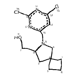 OCC1CC2(CCC2)CN1c1cc(Cl)nc(Cl)n1